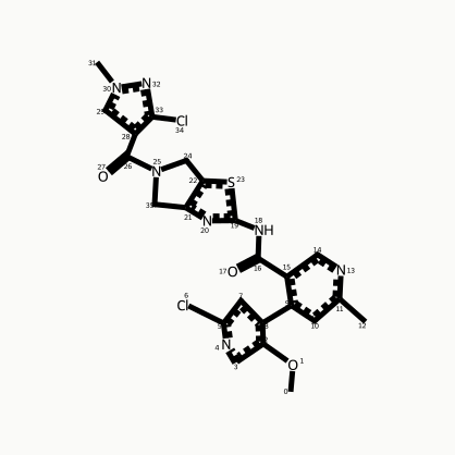 COc1cnc(Cl)cc1-c1cc(C)ncc1C(=O)Nc1nc2c(s1)CN(C(=O)c1cn(C)nc1Cl)C2